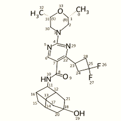 C[C@@H]1CN(c2ncc(C(=O)NC3C4CC5CC3CC(O)(C5)C4)c(C3CC(F)(F)C3)n2)C[C@H](C)O1